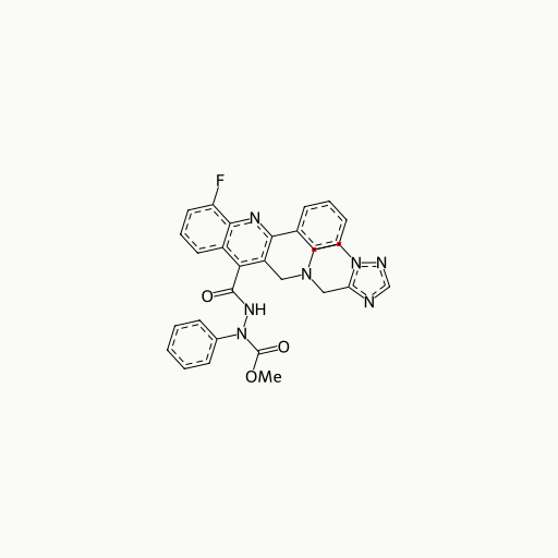 COC(=O)N(NC(=O)c1c(CN2CCn3ncnc3C2)c(-c2ccccc2)nc2c(F)cccc12)c1ccccc1